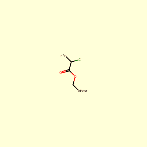 CCCCCCOC(=O)C(Cl)CCC